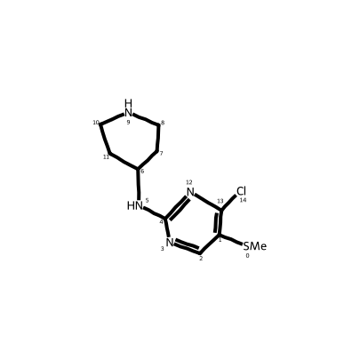 CSc1cnc(NC2CCNCC2)nc1Cl